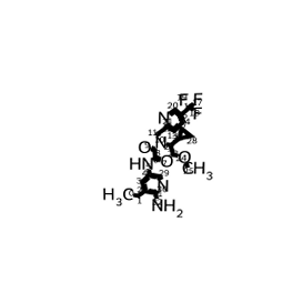 CCc1cc(NC(=O)C(=O)N(Cc2ccc(C(F)(F)F)cn2)C(COC)C2CC2)cnc1N